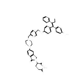 CCC(=C(c1ccc(O)cc1)c1ccc(OCc2ccc(CN3CCN(c4ccc5c(c4)CN(C4CCC(=O)NC4=O)C5=O)CC3)nc2)cc1)c1ccccc1